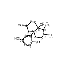 CCc1ccc(O)cc1[C@]12CCN(C)C(C)C1(O)CCC(=O)C2